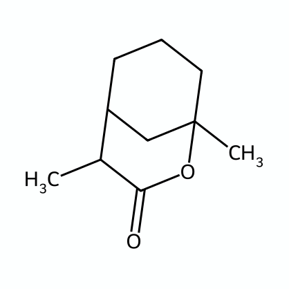 CC1C(=O)OC2(C)CCCC1C2